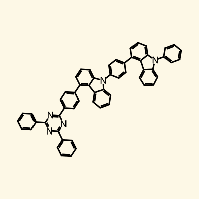 c1ccc(-c2nc(-c3ccccc3)nc(-c3ccc(-c4cccc5c4c4ccccc4n5-c4ccc(-c5cccc6c5c5ccccc5n6-c5ccccc5)cc4)cc3)n2)cc1